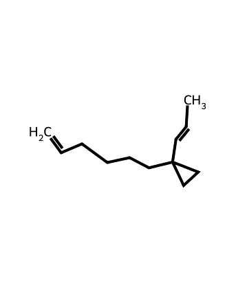 C=CCCCCC1(C=CC)CC1